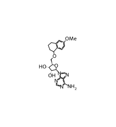 COc1ccc2c(c1)CCCC2OC[C@H]1O[C@@H](n2cnc3c(N)ncnc32)[C@H](O)[C@@H]1O